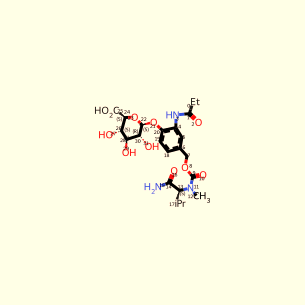 CCC(=O)Nc1cc(COC(=O)N(C)[C@H](C(N)=O)C(C)C)ccc1O[C@@H]1O[C@H](C(=O)O)[C@@H](O)[C@H](O)[C@H]1O